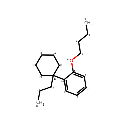 CCCCOc1ccccc1C1(CCC)CCCCC1